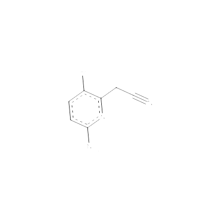 N#CCc1nc(N)ccc1Br